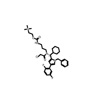 C[Si](C)(C)CCOC(=O)NCCCN(C(=O)CCl)[C@@H](c1cc(-c2cc(F)ccc2F)cn1Cc1ccccc1)C1CCCCC1